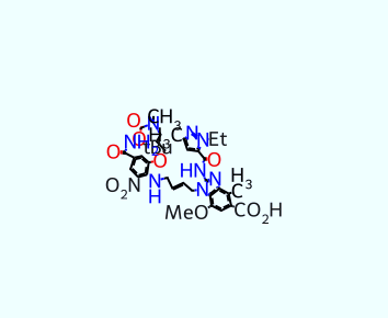 CCn1nc(C)cc1C(=O)Nc1nc2c(C)c(C(=O)O)cc(OC)c2n1CC=CCNc1c(OCCCN(C)C(=O)OC(C)(C)C)cc(C(N)=O)cc1[N+](=O)[O-]